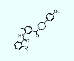 COc1ccc(C2CCN(C(=O)c3ccc(C)c(BC(=O)c4ccccc4OC)c3)CC2)cc1